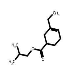 CCC1=CCCC(C(=O)OCC(C)C)C1